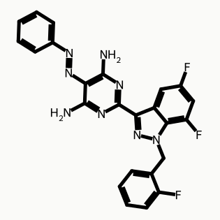 Nc1nc(-c2nn(Cc3ccccc3F)c3c(F)cc(F)cc23)nc(N)c1N=Nc1ccccc1